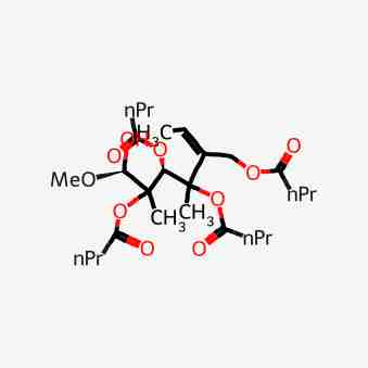 C/C=C(/COC(=O)CCC)C(C)(OC(=O)CCC)[C@H](OC(=O)CCC)C(C)(OC(=O)CCC)[C@H](O)OC